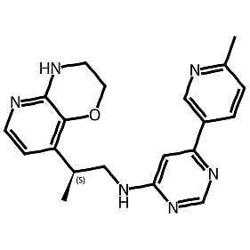 Cc1ccc(-c2cc(NC[C@@H](C)c3ccnc4c3OCCN4)ncn2)cn1